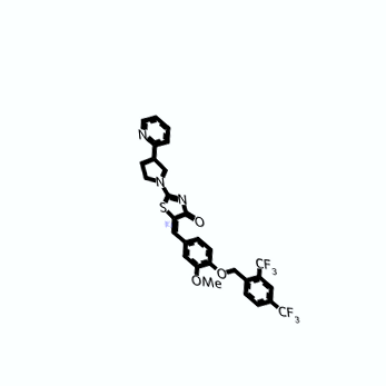 COc1cc(/C=C2/SC(N3CCC(c4ccccn4)C3)=NC2=O)ccc1OCc1ccc(C(F)(F)F)cc1C(F)(F)F